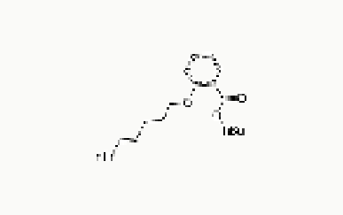 CCCC=CCCCOc1ccccc1C(=O)OCCCC